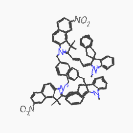 CN1/C(=C/C=C/C2=[N+](Cc3ccc(C[N+]4=C(/C=C/C=C5/N(C)c6ccccc6C5(Cc5ccccc5)Cc5ccccc5)C(C)(C)c5c4ccc4ccc([N+](=O)[O-])cc54)cc3)c3ccc4ccc([N+](=O)[O-])cc4c3C2(C)C)C(Cc2ccccc2)(Cc2ccccc2)c2ccccc21